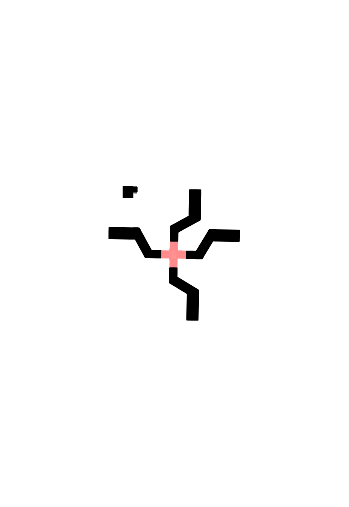 C=CC[B-](CC=C)(CC=C)CC=C.[Li+]